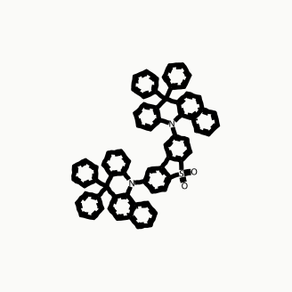 O=S1(=O)c2ccc(N3c4ccccc4C(c4ccccc4)(c4ccccc4)c4ccc5ccccc5c43)cc2-c2cc(N3c4ccccc4C(c4ccccc4)(c4ccccc4)c4ccc5ccccc5c43)ccc21